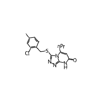 CCCc1cc(=O)[nH]c2nnc(SCc3ccc(C)cc3Cl)n12